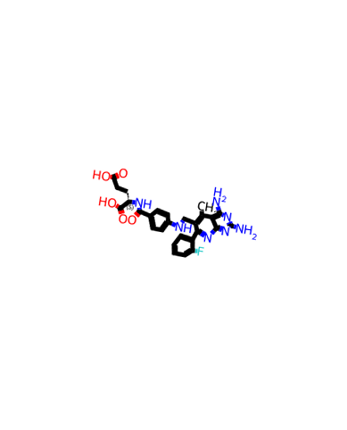 Cc1c(CNc2ccc(C(=O)N[C@@H](CCC(=O)O)C(=O)O)cc2)c(-c2ccccc2F)nc2nc(N)nc(N)c12